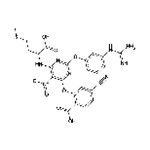 CSCCC(Nc1nc(Oc2cccc(NC(=N)N)c2)nc(Oc2cc(C#N)ccc2C(=O)O)c1[N+](=O)[O-])C(=O)O